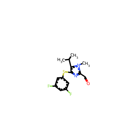 CC(C)c1c(Sc2cc(F)cc(F)c2)nc(C=O)n1C